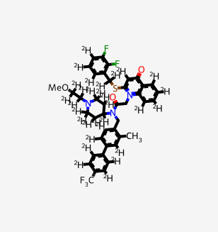 [2H]c1c([2H])c(F)c(F)c(C([2H])([2H])Sc2c([2H])c(=O)c3c([2H])c([2H])c([2H])c([2H])c3n2CC(=O)N(Cc2c([2H])c([2H])c(-c3c([2H])c([2H])c(C(F)(F)F)c([2H])c3[2H])c([2H])c2C)C2([2H])C([2H])([2H])C([2H])([2H])N(C([2H])([2H])C([2H])([2H])OC)C([2H])([2H])C2([2H])[2H])c1[2H]